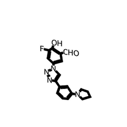 O=Cc1cc(-n2cc(-c3cccc(N4CCCC4)c3)nn2)cc(F)c1O